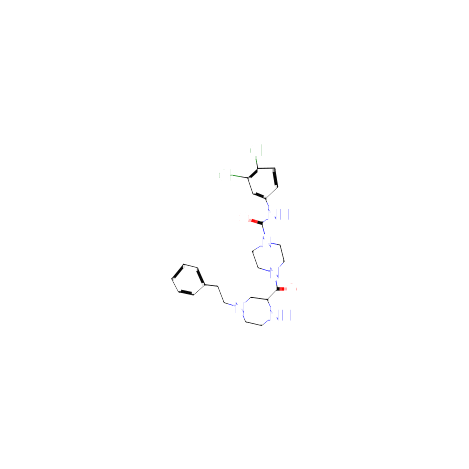 O=C(Nc1ccc(Cl)c(Cl)c1)N1CCN(C(=O)C2CN(CCc3ccccc3)CCN2)CC1